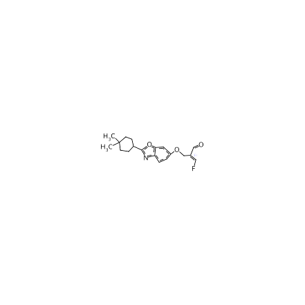 CC1(C)CCC(c2nc3ccc(OC/C(C=O)=C\F)cc3o2)CC1